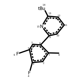 Cc1cc(F)c(F)cc1-c1cccc(C(C)(C)C)n1